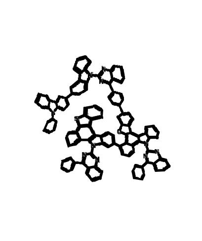 c1ccc(-c2nc(-n3c4ccccc4c4c5c6ccc(-c7ccc(-c8nc(-n9c%10ccccc%10c%10cc(-c%11ccc%12c(c%11)c%11ccccc%11n%12-c%11ccccc%11)ccc%109)nc9ccccc89)cc7)cc6oc5c5c(-c6ccc7c8c9c%10ccccc%10sc9c9ccccc9c8n(-c8nc(-c9ccccc9)c9ccccc9n8)c7c6)cccc5c43)nc3ccccc23)cc1